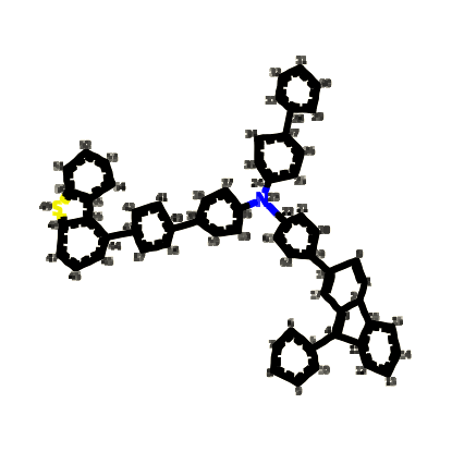 C1=CC2C(=C(c3ccccc3)c3ccccc32)C=C1c1ccc(N(c2ccc(-c3ccccc3)cc2)c2ccc(-c3ccc(-c4cccc5sc6ccccc6c45)cc3)cc2)cc1